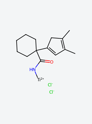 CC1=C(C)CC(C2(C(=O)[NH][Ti+2])CCCCC2)=C1.[Cl-].[Cl-]